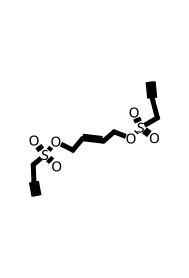 C#CCS(=O)(=O)OC/C=C/COS(=O)(=O)CC#C